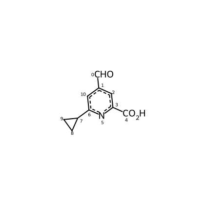 O=Cc1cc(C(=O)O)nc(C2CC2)c1